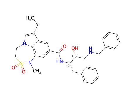 CCc1cn2c3c(cc(C(=O)N[C@@H](Cc4ccccc4)[C@H](O)CNCc4ccccc4)cc13)N(C)S(=O)(=O)CC2